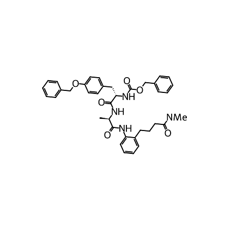 CNC(=O)CCCc1ccccc1NC(=O)[C@@H](C)NC(=O)[C@H](Cc1ccc(OCc2ccccc2)cc1)NC(=O)OCc1ccccc1